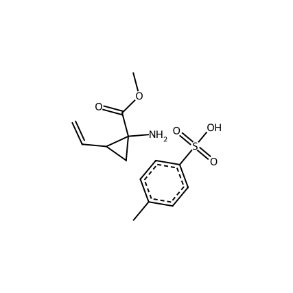 C=CC1CC1(N)C(=O)OC.Cc1ccc(S(=O)(=O)O)cc1